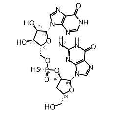 Nc1nc2c(ncn2[C@@H]2O[C@H](CO)C[C@H]2O[P@](=O)(S)OC[C@H]2O[C@@H](n3cnc4c(=O)[nH]cnc43)[C@H](O)[C@@H]2O)c(=O)[nH]1